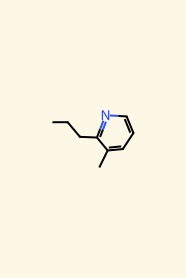 CCCc1ncccc1C